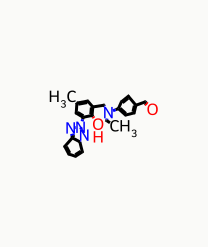 CCN(Cc1cc(C)cc(-n2nc3ccccc3n2)c1O)c1ccc(C=O)cc1